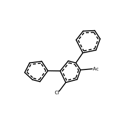 CC(=O)c1cc(Cl)c(-c2ccccc2)cc1-c1ccccc1